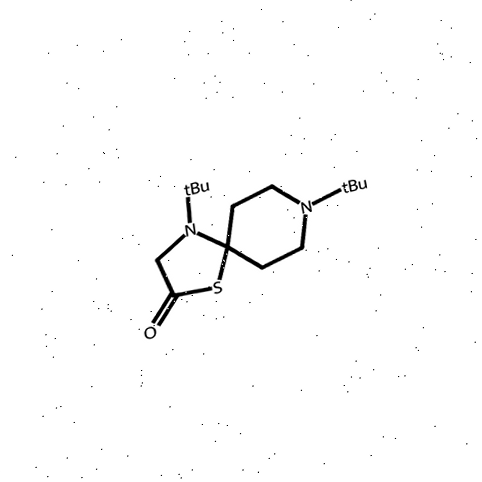 CC(C)(C)N1CCC2(CC1)SC(=O)CN2C(C)(C)C